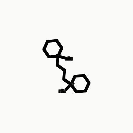 CCCC[N+]1(CCC[N+]2(CCCC)CCCCC2)CCCCC1